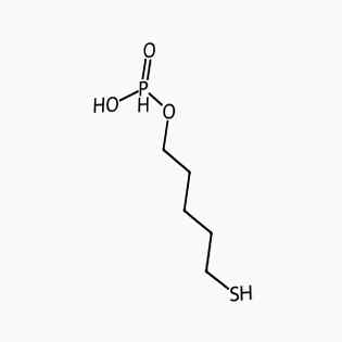 O=[PH](O)OCCCCCS